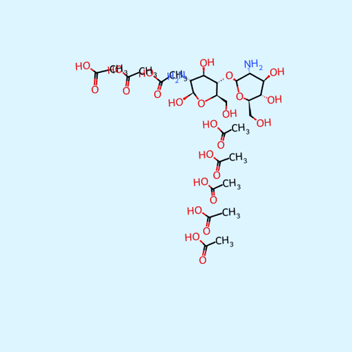 CC(=O)O.CC(=O)O.CC(=O)O.CC(=O)O.CC(=O)O.CC(=O)O.CC(=O)O.CC(=O)O.N[C@@H]1[C@@H](O)[C@H](O[C@@H]2O[C@H](CO)[C@@H](O)[C@H](O)[C@H]2N)[C@@H](CO)O[C@H]1O